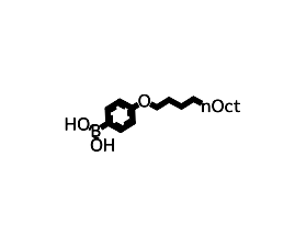 CCCCCCCCCCCCOc1ccc(B(O)O)cc1